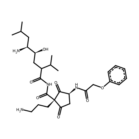 CC(C)C[C@H](N)[C@@H](O)CC(C(=O)NC(=O)[C@@]1(CCCN)C(=O)C[C@H](NC(=O)COc2ccccc2)C1=O)C(C)C